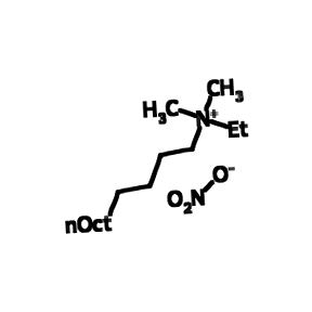 CCCCCCCCCCCC[N+](C)(C)CC.O=[N+]([O-])[O-]